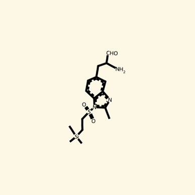 Cc1nc2cc(CC(N)C=O)ccc2n1S(=O)(=O)CC[Si](C)(C)C